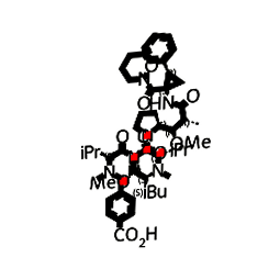 CC[C@H](C)[C@@H]([C@@H](CC(=O)N1CCC[C@H]1[C@H](OC)[C@@H](C)C(=O)N[C@@]1(C(=O)N2CCCCO2)C[C@@H]1c1ccccc1)OC)N(C)[C@H](C(=O)NC(=O)[C@H](C(C)C)N(C)Cc1ccc(C(=O)O)cc1)C(C)C